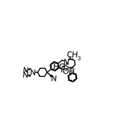 C[C@H]1CC[C@H](c2ccccc2)S(O)(O)N1Cc1ccc(C2(C#N)CCC(n3cnnc3)CC2)cc1F